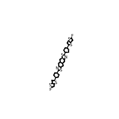 Fc1cc2sc(-c3ccc(-c4nc5cc6cc7sc(-c8ccc(-c9cc%10sc(F)cc%10s9)cc8)nc7cc6cc5s4)cc3)cc2s1